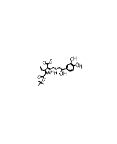 CCc1c(C(=O)OC(C)(C)C)[nH]c(CNCC(O)c2ccc(O)c(O)c2)c1C(=O)OC